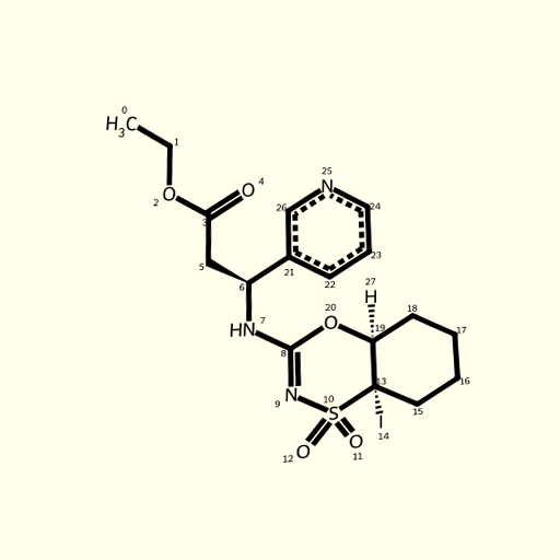 CCOC(=O)C[C@H](NC1=NS(=O)(=O)[C@]2(I)CCCC[C@@H]2O1)c1cccnc1